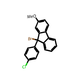 COc1ccc2c(c1)C(Br)(c1ccc(Cl)cc1)c1ccccc1-2